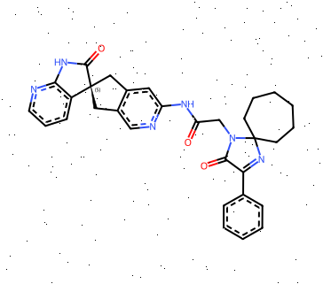 O=C(CN1C(=O)C(c2ccccc2)=NC12CCCCCC2)Nc1cc2c(cn1)C[C@]1(C2)C(=O)Nc2ncccc21